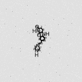 O=C1CCC(Nc2ccc(CCN3CCNCC3)cc2)C(=O)N1